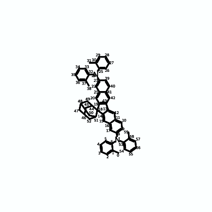 Cc1ccccc1N(c1ccc2cc3c(cc2c1)C1(c2cc4cc(N(c5ccccc5C)c5ccccc5C)ccc4cc2-3)C2CC3CC(C2)CC1C3)c1ccccc1C